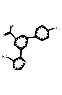 Cc1ccc(-c2cc(C(=O)O)cc(-c3scnc3C)c2)cc1